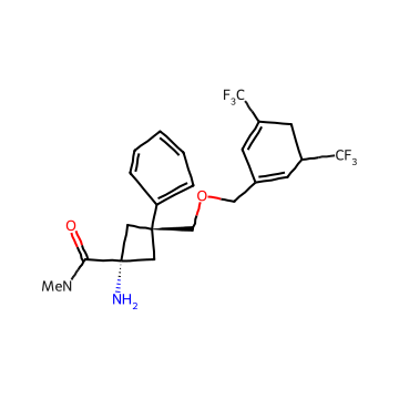 CNC(=O)[C@]1(N)C[C@@](COCC2=CC(C(F)(F)F)CC(C(F)(F)F)=C2)(c2ccccc2)C1